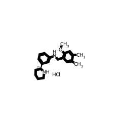 COc1cc(C)c(C)cc1CNc1cccc([C@@H]2CCCCN2)c1.Cl